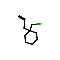 C=CCC1(CBr)CCCCC1